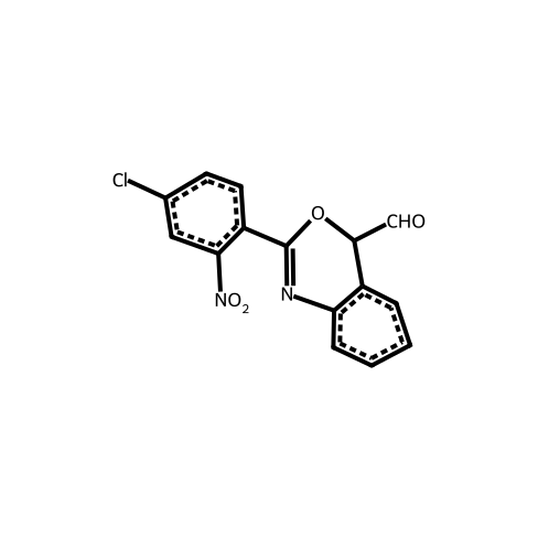 O=CC1OC(c2ccc(Cl)cc2[N+](=O)[O-])=Nc2ccccc21